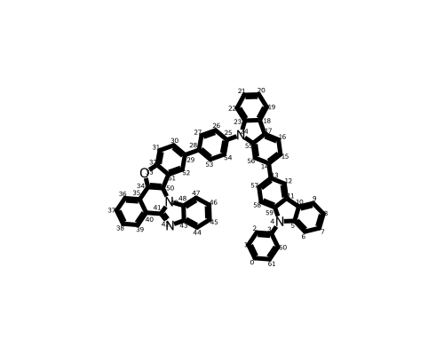 c1ccc(-n2c3ccccc3c3cc(-c4ccc5c6ccccc6n(-c6ccc(-c7ccc8oc9c%10ccccc%10c%10nc%11ccccc%11n%10c9c8c7)cc6)c5c4)ccc32)cc1